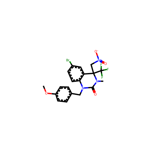 COc1ccc(CN2C(=O)N(C)C(C[N+](=O)[O-])(C(F)(F)F)c3cc(Br)ccc32)cc1